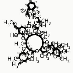 CON=C1C[C@@H](C)O[C@@H](O[C@@H]2[C@@H](C)[C@H](O[C@H]3C[C@@H](C)N(C)C[C@H](C)O3)[C@@H](C)C(=O)O[C@H]([C@@H](C)CO[C@@H]3O[C@H](C)[C@@H](O)[C@@H](OC)[C@H]3OC)[C@H](C)[C@@H](OC(=O)CC(C)C)[C@@H](C)C(=O)[C@@](C)(OC(=O)NC(C)(C)CNS(=O)(=O)c3ccccc3[N+](=O)[O-])C[C@@H]2C)[C@@H]1O